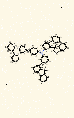 CC1(C)c2ccccc2-c2cccc(-c3cccc(N(c4ccc(-c5ccc(-c6ccccc6-c6ccccc6)cc5)cc4)c4ccc5c(c4)C4(CCc6ccccc64)c4ccccc4-5)c3)c21